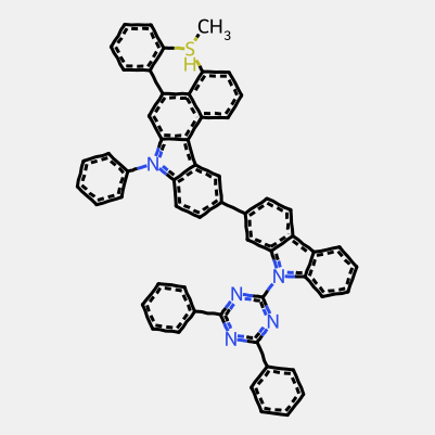 C[SH]1c2ccccc2-c2cc3c(c4cccc1c24)c1cc(-c2ccc4c5ccccc5n(-c5nc(-c6ccccc6)nc(-c6ccccc6)n5)c4c2)ccc1n3-c1ccccc1